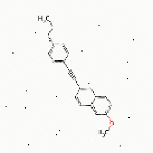 CCCc1ccc(C#Cc2ccc3cc(OC)ccc3c2)cc1